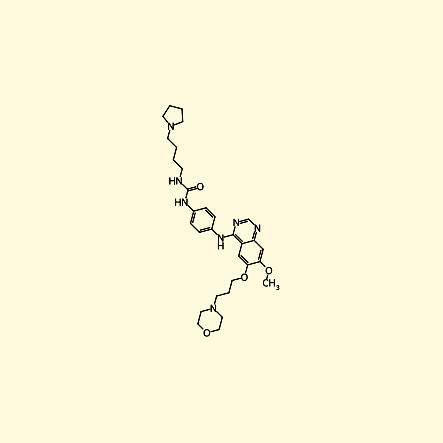 COc1cc2ncnc(Nc3ccc(NC(=O)NCCCCN4CCCC4)cc3)c2cc1OCCCN1CCOCC1